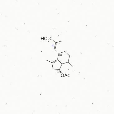 CC(=O)O[C@H]1CC(C)=C2C1C(C)CC[C@H]2/C=C(\C)C(=O)O